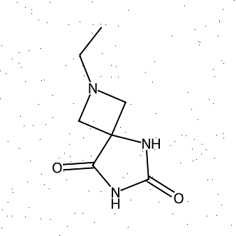 CCN1CC2(C1)NC(=O)NC2=O